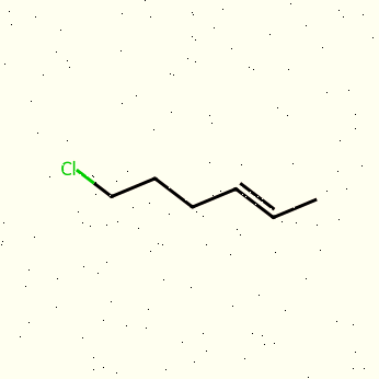 C/C=C/CCCCl